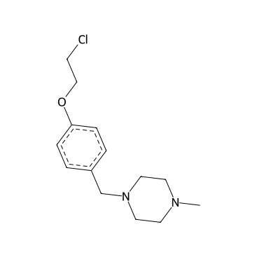 CN1CCN(Cc2ccc(OCCCl)cc2)CC1